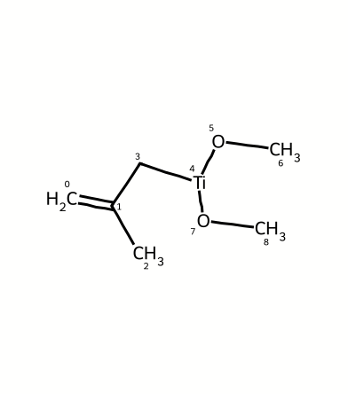 C=C(C)[CH2][Ti]([O]C)[O]C